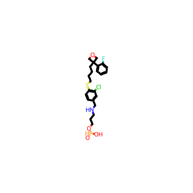 O=[PH](O)OCCCNCc1ccc(SCCCCC2(c3ccccc3F)COC2)c(Cl)c1